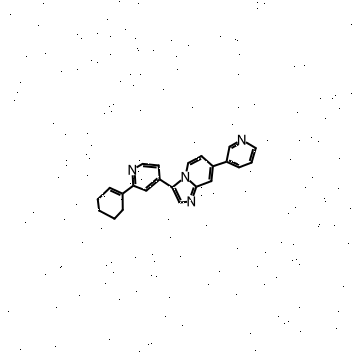 C1=C(c2cc(-c3cnc4cc(-c5cccnc5)ccn34)ccn2)CCCC1